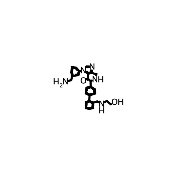 NCc1cccc(-n2cnc3c2C(=O)C(c2ccc(-c4ccccc4CNCCO)cc2)NC3)c1